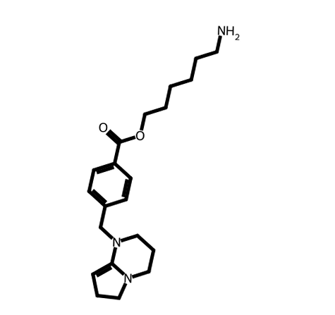 NCCCCCCOC(=O)c1ccc(CN2CCCN3CCC=C32)cc1